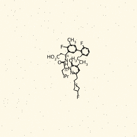 Cc1cc(-c2c(C)cccc2F)cc([C@H](CC(=O)O)NC(=O)[C@H](CC(C)C)n2nc(CCN3CC(F)C3)cc(C)c2=O)c1F